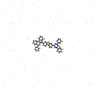 c1ccc(-c2cc3c(c4ccccc24)c2ccccc2n3-c2ccc3c(c2)oc2cc(-c4nc(-c5ccccc5)c5sc6ccccc6c5n4)ccc23)cc1